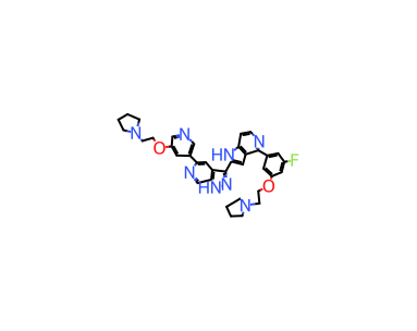 Fc1cc(OCCN2CCCC2)cc(-c2nccc3[nH]c(-c4n[nH]c5cnc(-c6cncc(OCCN7CCCC7)c6)cc45)cc23)c1